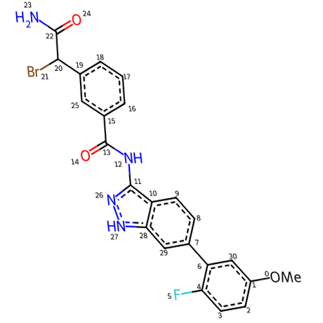 COc1ccc(F)c(-c2ccc3c(NC(=O)c4cccc(C(Br)C(N)=O)c4)n[nH]c3c2)c1